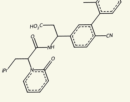 Cc1ccccc1-c1cc(C(CC(=O)O)NC(=O)C(CC(C)C)n2ccccc2=O)ccc1C#N